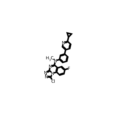 CN(c1cccc(-c2ccc(C3CC3)nc2)c1)c1nc2nnc(Cl)n2c2ccc(F)cc12